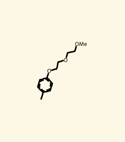 COCCOCCOc1ccc(C)cc1